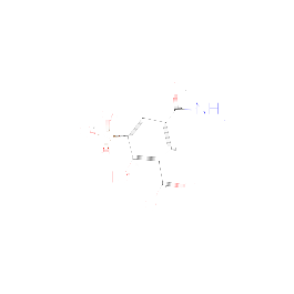 NC(=O)c1cc(C(=O)O)c(O)c(S(=O)(=O)O)c1